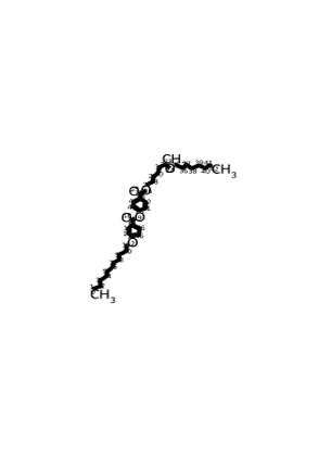 CCCCCCCCCCCCOc1ccc(C(=O)Oc2ccc(C(=O)OCCCCCC(C)OCCCCCCCC)cc2)cc1